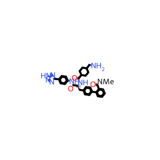 CNC(=O)c1ccccc1-c1ccc(C[C@H](NC(=O)C2CCC(CN)CC2)C(=O)Nc2ccc(-c3nn[nH]n3)cc2)cc1